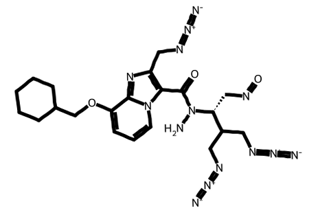 [N-]=[N+]=NCc1nc2c(OCC3CCCCC3)cccn2c1C(=O)N(N)[C@H](CN=O)C(CN=[N+]=[N-])CN=[N+]=[N-]